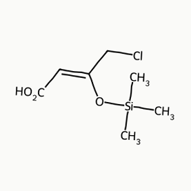 C[Si](C)(C)OC(=CC(=O)O)CCl